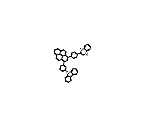 c1cc(-c2cc(-c3ccc(-c4cnc5ccccc5n4)cc3)c3ccc4cccc5ccc2c3c45)cc(-n2c3ccccc3c3ccccc32)c1